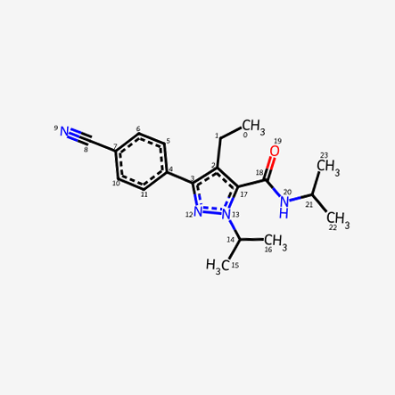 CCc1c(-c2ccc(C#N)cc2)nn(C(C)C)c1C(=O)NC(C)C